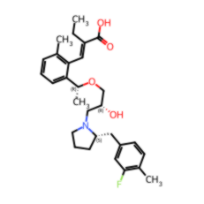 CCC(=Cc1c(C)cccc1[C@@H](C)OC[C@H](O)CN1CCC[C@H]1Cc1ccc(C)c(F)c1)C(=O)O